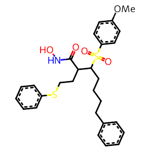 COc1ccc(S(=O)(=O)C(CCCCc2ccccc2)C(CCSc2ccccc2)C(=O)NO)cc1